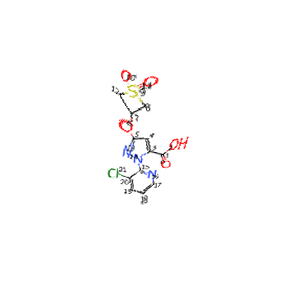 O=C(O)c1cc(OC2CS(=O)(=O)C2)nn1-c1ncccc1Cl